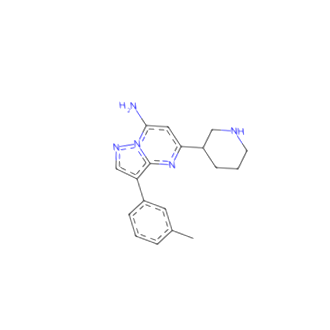 Cc1cccc(-c2cnn3c(N)cc(C4CCCNC4)nc23)c1